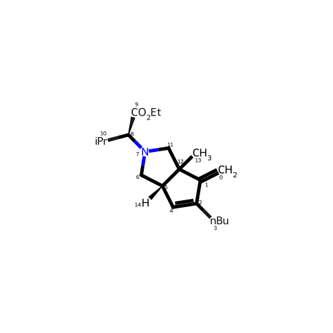 C=C1C(CCCC)=C[C@@H]2CN([C@H](C(=O)OCC)C(C)C)CC12C